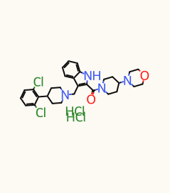 Cl.Cl.O=C(c1[nH]c2ccccc2c1CN1CCC(c2c(Cl)cccc2Cl)CC1)N1CCC(N2CCOCC2)CC1